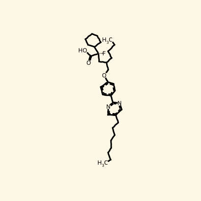 CCCCCCCCc1cnc(-c2ccc(OCC(CCCC)C[C@@](F)(C(=O)O)C3CCCCC3)cc2)nc1